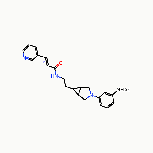 CC(=O)Nc1cccc(N2CC3C(CCNC(=O)/C=C/c4cccnc4)C3C2)c1